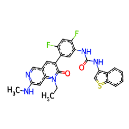 CCn1c(=O)c(-c2cc(NC(=O)Nc3csc4ccccc34)c(F)cc2F)cc2cnc(NC)cc21